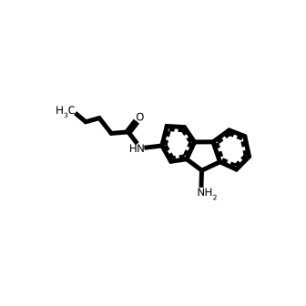 CCCCC(=O)Nc1ccc2c(c1)C(N)c1ccccc1-2